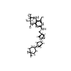 Cc1nc(NCc2cnn([C@@H]3CCN(C4CCC(F)(F)CC4)C3)c2)nc2c1NC(=O)[C@H](C)N2C